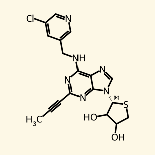 CC#Cc1nc(NCc2cncc(Cl)c2)c2ncn([C@@H]3SCC(O)C3O)c2n1